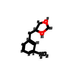 O=[N+]([O-])c1cc[c]c(CC2COCO2)c1